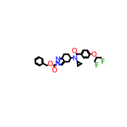 O=C(c1ccc(OC(CF)CF)cc1)N(C1CC1)C1CCc2nn(C(=O)OCc3ccccc3)cc2C1